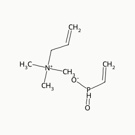 C=CC[N+](C)(C)C.C=C[PH](=O)[O-]